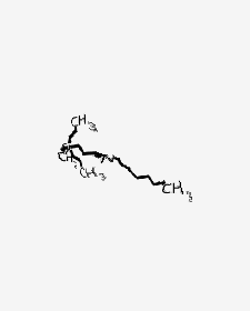 C=C[Si](CCC)(CCC)CCC=NCCCCCCCC